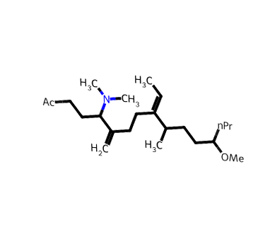 C=C(CC/C(=C\C)C(C)CCC(CCC)OC)C(CCC(C)=O)N(C)C